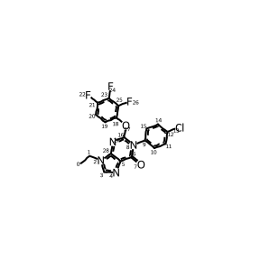 CCn1cnc2c(=O)n(-c3ccc(Cl)cc3)c(Oc3ccc(F)c(F)c3F)nc21